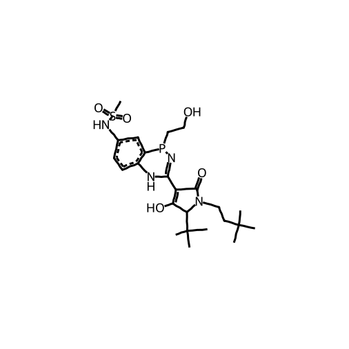 CC(C)(C)CCN1C(=O)C(C2=NP(CCO)c3cc(NS(C)(=O)=O)ccc3N2)=C(O)C1C(C)(C)C